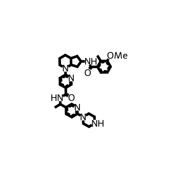 COc1cccc(C(=O)NC2CC3CCCN(c4ccc(C(=O)NC(C)c5ccc(N6CCNCC6)nc5)cn4)C3C2)c1C